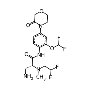 CN(CC(F)F)[C@H](CN)C(=O)Nc1ccc(N2CCOCC2=O)cc1OC(F)F